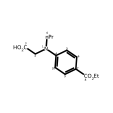 CCCN(CC(=O)O)c1ccc(C(=O)OCC)cc1